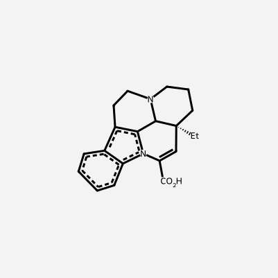 CC[C@@]12C=C(C(=O)O)n3c4c(c5ccccc53)CCN(CCC1)C42